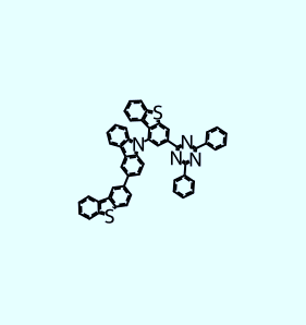 c1ccc(-c2nc(-c3ccccc3)nc(-c3cc(-n4c5ccccc5c5cc(-c6ccc7sc8ccccc8c7c6)ccc54)c4c(c3)sc3ccccc34)n2)cc1